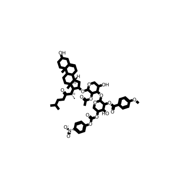 COc1ccc(C(=O)OC2C(OC3C(O)COC(OC4C[C@H]5C6CC=C7CC(O)CCC7(C)C6CCC5(C)C4[C@H](C)C(=O)CCC(C)C)C3OC(C)=O)OCC(OC(=O)Oc3ccc([N+](=O)[O-])cc3)C2O)cc1